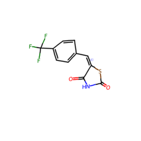 O=C1NC(=O)/C(=C\c2ccc(C(F)(F)F)cc2)S1